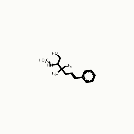 O=C(O)NC(CO)C(CC=Cc1ccccc1)(C(F)(F)F)C(F)(F)F